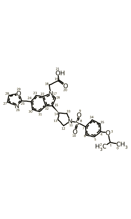 CC(C)Oc1ccc(S(=O)(=O)N2CC[C@@H](c3cn(CC(=O)O)c4cc(-c5ncco5)ccc34)C2)cc1